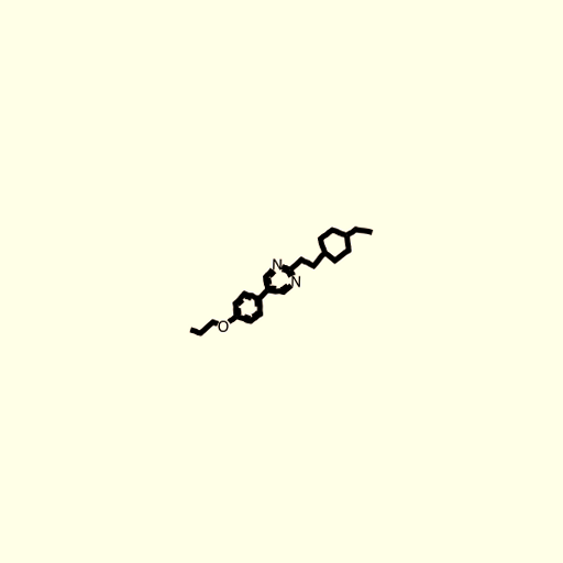 CCCOc1ccc(-c2cnc(CCC3CCC(CC)CC3)nc2)cc1